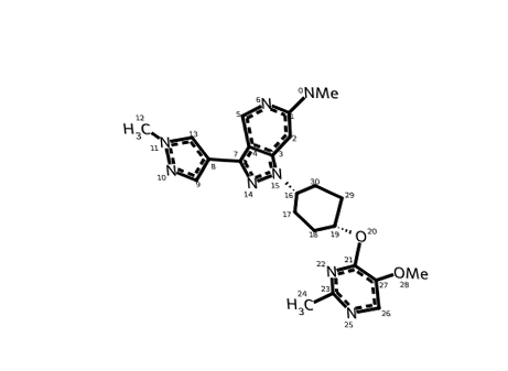 CNc1cc2c(cn1)c(-c1cnn(C)c1)nn2[C@H]1CC[C@@H](Oc2nc(C)ncc2OC)CC1